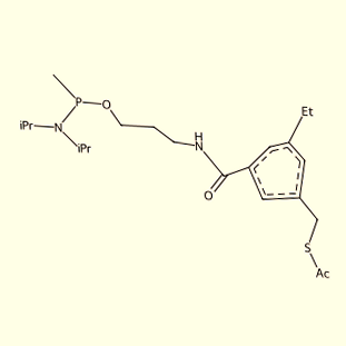 CCc1cc(CSC(C)=O)cc(C(=O)NCCCOP(C)N(C(C)C)C(C)C)c1